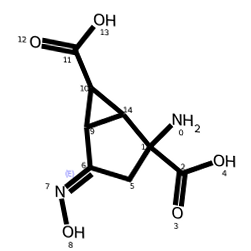 NC1(C(=O)O)C/C(=N\O)C2C(C(=O)O)C21